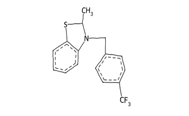 CC1Sc2ccccc2N1Cc1ccc(C(F)(F)F)cc1